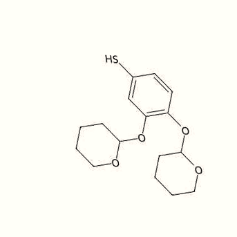 Sc1ccc(OC2CCCCO2)c(OC2CCCCO2)c1